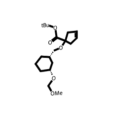 COCO[C@@H]1CCC[C@H](COC2(C(=O)OC(C)(C)C)CC=CC2)C1